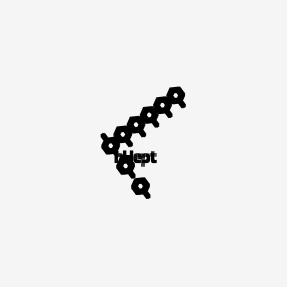 CCCCCCCc1ccc(C)cc1.Cc1ccccc1.Cc1ccccc1.Cc1ccccc1.Cc1ccccc1.Cc1ccccc1.Cc1ccccc1.Cc1ccccc1